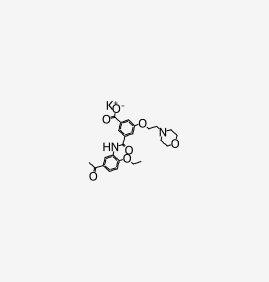 CCOc1ccc(C(C)=O)cc1NC(=O)c1cc(OCCN2CCOCC2)cc(C(=O)[O-])c1.[K+]